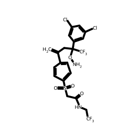 C=C(CC(ON)(c1cc(Cl)cc(Cl)c1)C(F)(F)F)c1ccc(S(=O)(=O)CC(=O)NCC(F)(F)F)cc1